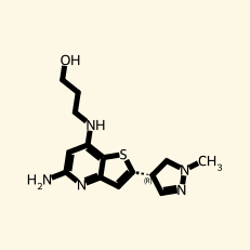 CN1C[C@@H](c2cc3nc(N)cc(NCCCO)c3s2)C=N1